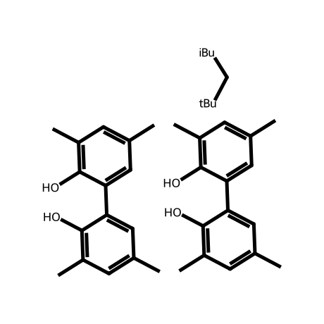 CCC(C)CC(C)(C)C.Cc1cc(C)c(O)c(-c2cc(C)cc(C)c2O)c1.Cc1cc(C)c(O)c(-c2cc(C)cc(C)c2O)c1